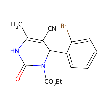 CCOC(=O)N1C(=O)NC(C)=C(C#N)C1c1ccccc1Br